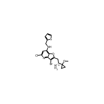 COC1([C@H](N)Cc2oc3c(NCc4cccs4)cc(Cl)nc3c2Br)CC1